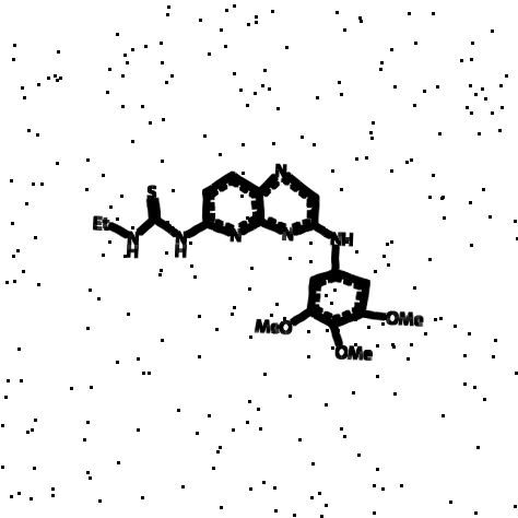 CCNC(=S)Nc1ccc2ncc(Nc3cc(OC)c(OC)c(OC)c3)nc2n1